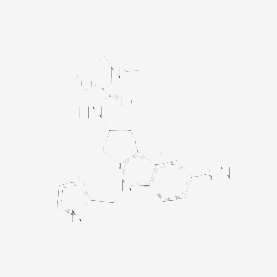 CN(C)S(=O)(=O)NC1Cc2c(n(Cc3nccs3)c3ccc(C#N)cc23)C1